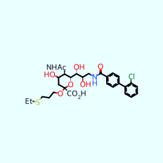 CCSCCCO[C@]1(C(=O)O)CC(O)[C@@H](NC(C)=O)[C@H]([C@H](O)[C@H](O)CNC(=O)c2ccc(-c3ccccc3Cl)cc2)O1